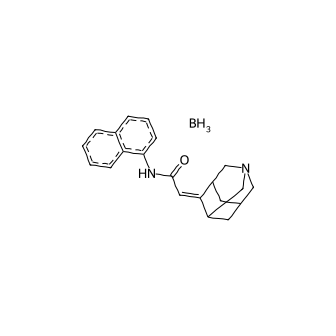 B.O=C(C=C1C2CC3CC1CN(C3)C2)Nc1cccc2ccccc12